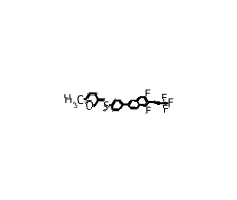 CC1CCC(CSc2ccc(-c3ccc4c(F)c(C#CC(F)(F)F)c(F)cc4c3)cc2)CO1